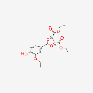 CCOC(=O)[C@@H]1OC(c2ccc(O)c(OCC)c2)O[C@H]1C(=O)OCC